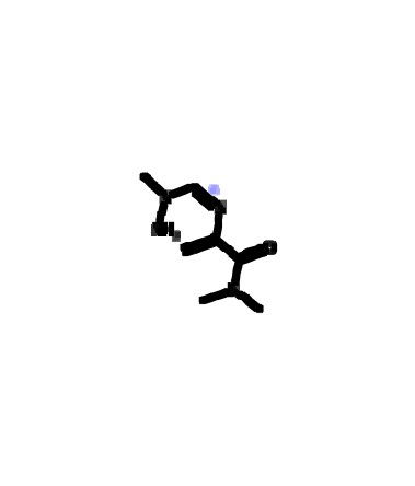 C=C(/N=C\N(C)N)C(=O)N(C)C